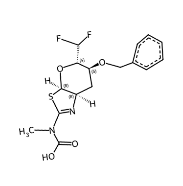 CN(C(=O)O)C1=N[C@@H]2C[C@H](OCc3ccccc3)[C@@H](C(F)F)O[C@@H]2S1